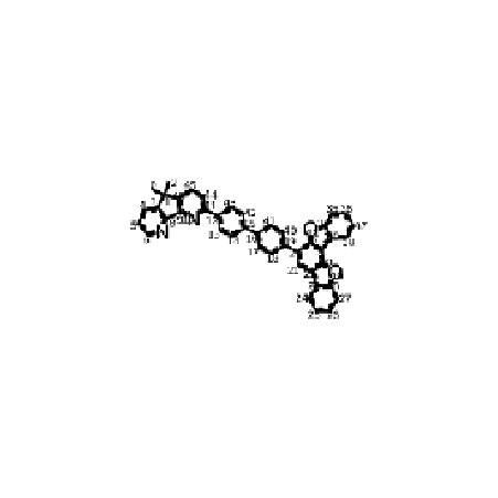 CC1(C)c2cccnc2-c2nc(-c3ccc(-c4ccc(-c5cc6c7ccccc7oc6c6c5oc5ccccc56)cc4)cc3)ccc21